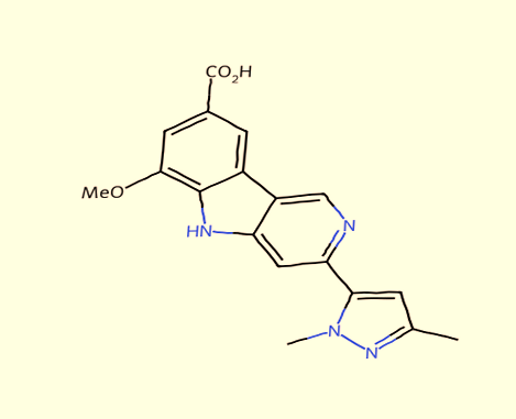 COc1cc(C(=O)O)cc2c1[nH]c1cc(-c3cc(C)nn3C)ncc12